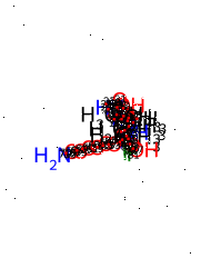 CC[C@H](C)[C@@H]([C@@H](CC(=O)N1CCC[C@H]1[C@H](OC)[C@@H](C)C(=O)N[C@@H](Cc1ccccc1)C(=O)O)OC)N(C)C(=O)[C@@H](NC(=O)[C@]1(C)CCCN1C(=O)CCOCCOCCOCCOCCOCCOCCN)C(C)C.O=C(O)C(F)(F)F